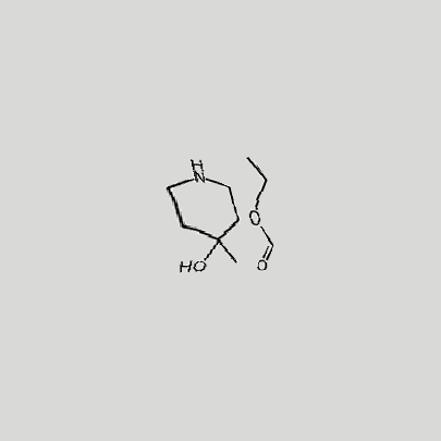 CC1(O)CCNCC1.CCOC=O